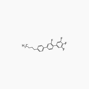 CCCCc1ccc(-c2ccc(-c3cc(F)c(F)c(F)c3)c(F)c2)cc1